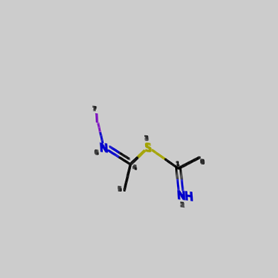 CC(=N)S/C(C)=N\I